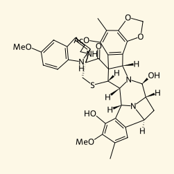 COc1ccc2[nH]c3c(c2c1)CCN[C@]31CS[C@H]2[C@H]3[C@H]4c5c(cc(C)c(OC)c5O)[C@@H]5C[C@@H]([C@H](O)N3[C@H]3c6c7c(c(C)c(OC(C)=O)c6C32C1=O)OCO7)N45